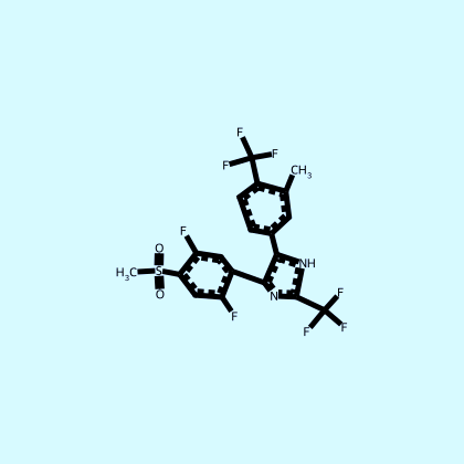 Cc1cc(-c2[nH]c(C(F)(F)F)nc2-c2cc(F)c(S(C)(=O)=O)cc2F)ccc1C(F)(F)F